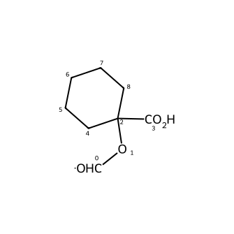 O=[C]OC1(C(=O)O)CCCCC1